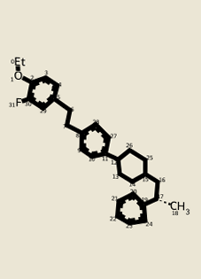 CCOc1ccc(CCc2ccc(C3CCC(C[C@H](C)c4ccccc4)CC3)cc2)cc1F